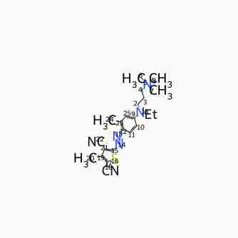 CCN(CCC[N+](C)(C)C)c1ccc(/N=N/c2sc(C#N)c(C)c2C#N)c(C)c1